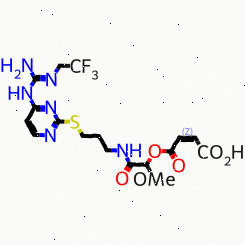 COC(OC(=O)/C=C\C(=O)O)C(=O)NCCCSc1nccc(NC(N)=NCC(F)(F)F)n1